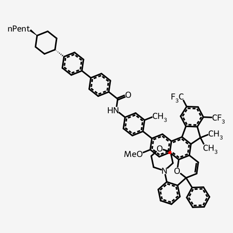 CCCCC[C@H]1CC[C@H](c2ccc(-c3ccc(C(=O)Nc4ccc(-c5cc6c7c(c8c(c6cc5OC)OC(c5ccccc5)(c5ccccc5N5CCOCC5)C=C8)C(C)(C)c5c-7cc(C(F)(F)F)cc5C(F)(F)F)c(C)c4)cc3)cc2)CC1